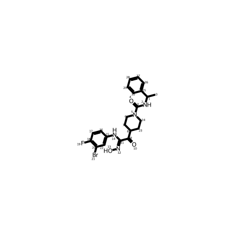 CC(NC(=O)N1CCC(C(=O)/C(=N/O)Nc2ccc(F)c(Br)c2)CC1)c1ccccc1